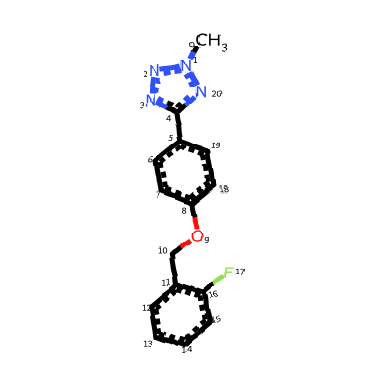 Cn1nnc(-c2ccc(OCc3ccccc3F)cc2)n1